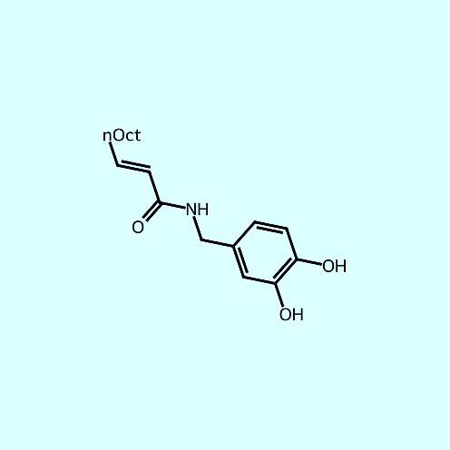 CCCCCCCCC=CC(=O)NCc1ccc(O)c(O)c1